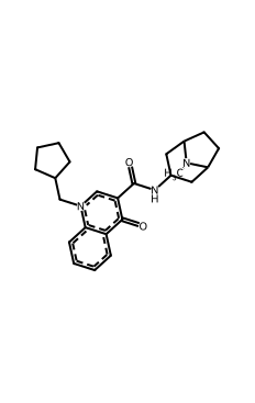 CN1C2CCC1CC(NC(=O)c1cn(CC3CCCC3)c3ccccc3c1=O)C2